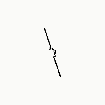 CC#CC#CC#CC#CC#CC#CC#CC#CC(=O)OCCOCC(C)OCCOC(=O)C#CC#CC#CC#CC#CC#CC#CC#CC